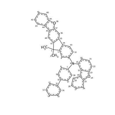 CC1(C)c2cc(N(c3ccc(-c4ccccc4)cc3)c3cccc4oc5ccccc5c34)ccc2-c2cc3oc4ccccc4c3cc21